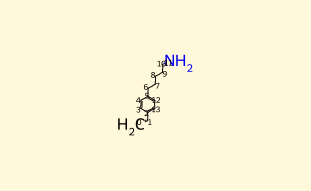 C=Cc1ccc(CCCCCN)cc1